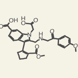 COC(=O)C1=C(c2c(CNCC(=O)c3ccc(OC)cc3)n(CC(=O)O)c3cc(C(=O)O)ccc23)CCC1